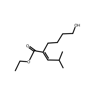 CCOC(=O)C(=CC(C)C)CCCCO